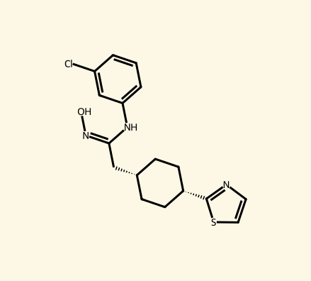 O/N=C(/C[C@H]1CC[C@@H](c2nccs2)CC1)Nc1cccc(Cl)c1